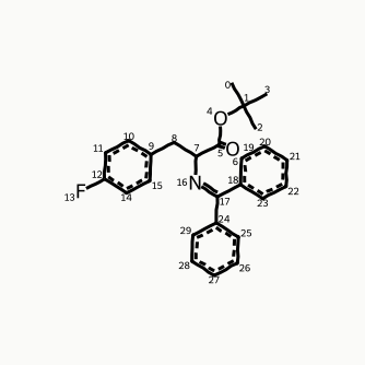 CC(C)(C)OC(=O)C(Cc1ccc(F)cc1)N=C(c1ccccc1)c1ccccc1